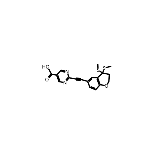 CSC1(SC)CCOc2ccc(C#Cc3ncc(C(=O)O)cn3)cc21